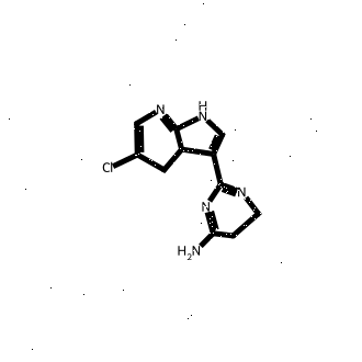 NC1=NC(C2=CNC3=NC=C(Cl)CC23)=NCC1